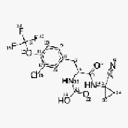 N#CC1(NC(=O)C(Cc2ccc(OC(F)(F)F)c(Cl)c2)NC(=O)O)CC1